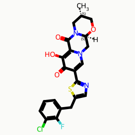 C[C@@H]1CO[C@H]2Cn3cc(-c4ncc(Cc5cccc(Cl)c5F)s4)c(=O)c(O)c3C(=O)N2C1